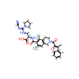 Cc1c(C(=O)N2CCc3c(cc(Cl)c(C(=O)NC(CN/C(=N/C#N)N4CCCC4)C(=O)O)c3Cl)C2)oc2ccccc12